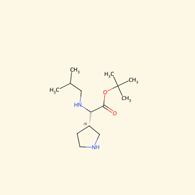 CC(C)CNC(C(=O)OC(C)(C)C)[C@H]1CCNC1